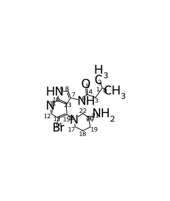 CC(C)CC(=O)Nc1c[nH]c2ncc(Br)c(N3CCC[C@@H](N)C3)c12